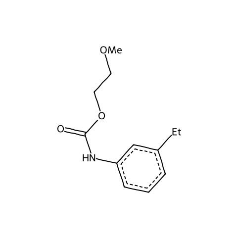 CCc1cccc(NC(=O)OCCOC)c1